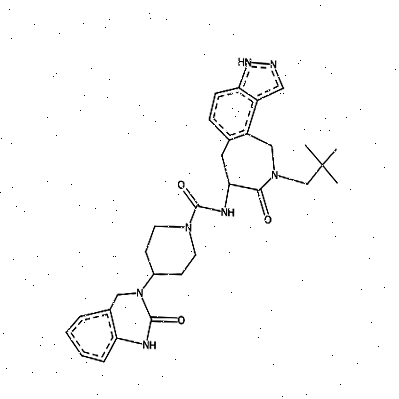 CC(C)(C)CN1Cc2c(ccc3[nH]ncc23)CC(NC(=O)N2CCC(N3Cc4ccccc4NC3=O)CC2)C1=O